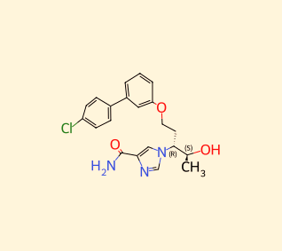 C[C@H](O)[C@@H](CCOc1cccc(-c2ccc(Cl)cc2)c1)n1cnc(C(N)=O)c1